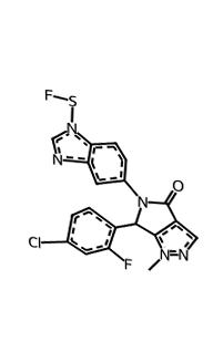 Cn1ncc2c1C(c1ccc(Cl)cc1F)N(c1ccc3c(c1)ncn3SF)C2=O